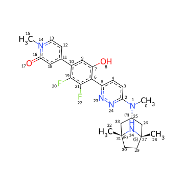 CN(c1ccc(-c2c(O)cc(-c3ccn(C)c(=O)c3)c(F)c2F)nn1)[C@@H]1C[C@]2(C)CC[C@](C)(C1)N2